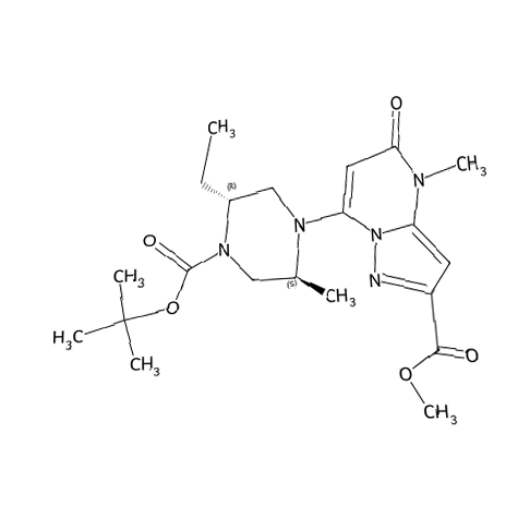 CC[C@@H]1CN(c2cc(=O)n(C)c3cc(C(=O)OC)nn23)[C@@H](C)CN1C(=O)OC(C)(C)C